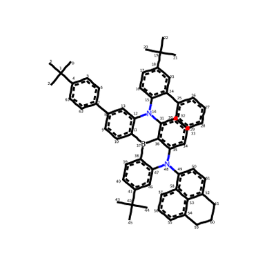 CC(C)(C)c1ccc(-c2ccc3c(c2)N(c2ccc(C(C)(C)C)cc2-c2ccccc2)c2cccc4c2B3c2ccc(C(C)(C)C)cc2N4c2ccc3c4c(cccc24)CCC3)cc1